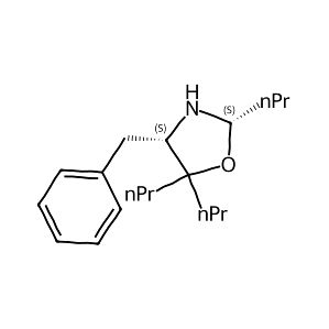 CCC[C@H]1N[C@@H](Cc2ccccc2)C(CCC)(CCC)O1